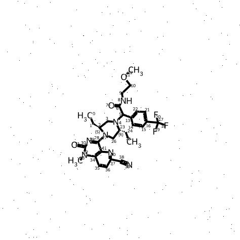 CC[C@H]1CN(C(C(=O)NCCOC)c2ccc(C(F)(F)F)cc2)[C@H](CC)CN1c1nc(=O)n(C)c2ccc(C#N)nc12